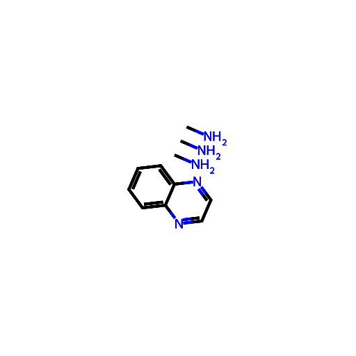 CN.CN.CN.c1ccc2nccnc2c1